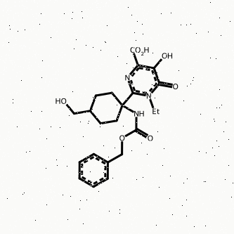 CCn1c(C2(NC(=O)OCc3ccccc3)CCC(CO)CC2)nc(C(=O)O)c(O)c1=O